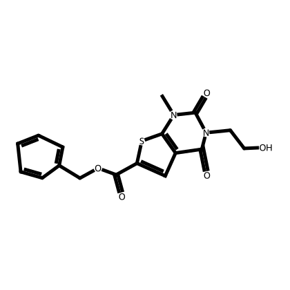 Cn1c(=O)n(CCO)c(=O)c2cc(C(=O)OCc3ccccc3)sc21